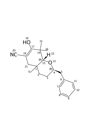 CC12CC[C@H](Cc3ccccc3)O[C@H]1C(C)(C)C(O)=C(C#N)C2